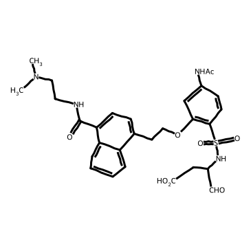 CC(=O)Nc1ccc(S(=O)(=O)NC(C=O)CC(=O)O)c(OCCc2ccc(C(=O)NCCN(C)C)c3ccccc23)c1